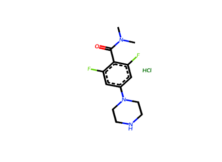 CN(C)C(=O)c1c(F)cc(N2CCNCC2)cc1F.Cl